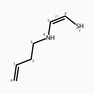 C=CCCN/C=C\S